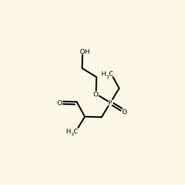 CCP(=O)(CC(C)C=O)OCCO